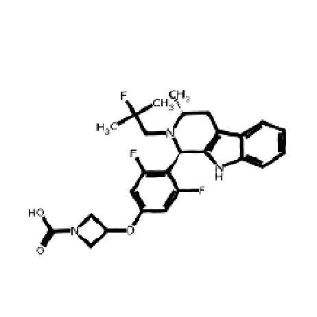 C[C@@H]1Cc2c([nH]c3ccccc23)[C@@H](c2c(F)cc(OC3CN(C(=O)O)C3)cc2F)N1CC(C)(C)F